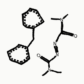 CN(C)C(=O)N=NC(=O)N(C)C.c1ccc(Cc2ccccc2)cc1